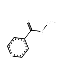 CNNC(=O)c1ccncc1